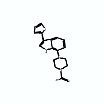 O=C(O)N1CCN(c2cccc3c(-c4cccs4)c[nH]c23)CC1